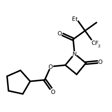 CCC(C)(C(=O)N1C(=O)CC1OC(=O)C1CCCC1)C(F)(F)F